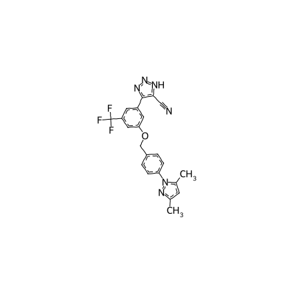 Cc1cc(C)n(-c2ccc(COc3cc(-c4nn[nH]c4C#N)cc(C(F)(F)F)c3)cc2)n1